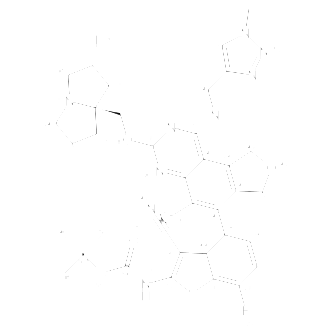 Cn1cc(CNc2nc(OC[C@@]34CCCN3C[C@H](F)C4)nc3c(Cl)c(-c4ccc(F)c5sc(NC(=O)OC(C)(C)C)c(C#N)c45)c4c(c23)COC4)nn1